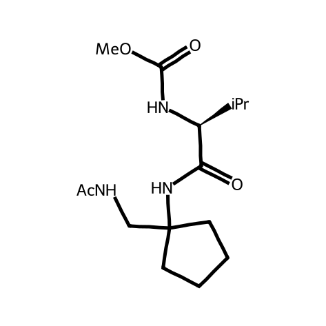 COC(=O)N[C@H](C(=O)NC1(CNC(C)=O)CCCC1)C(C)C